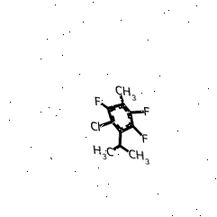 Cc1c(F)c(F)c(C(C)C)c(Cl)c1F